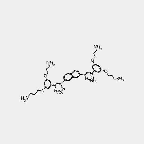 N=N/C(=C\Nc1cc(OCCCN)cc(OCCCN)c1)c1ccc2ccc(/C(=C/Nc3cc(OCCCN)cc(OCCCN)c3)N=N)cc2c1